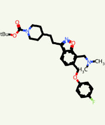 CN(C)Cc1c(COc2ccc(F)cc2)ccc2c(CCC3CCN(C(=O)OC(C)(C)C)CC3)noc12